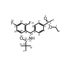 CCOP(C)(=O)c1ccc([C@H](N[S+]([O-])C(C)(C)C)c2ccc(F)cc2F)cc1